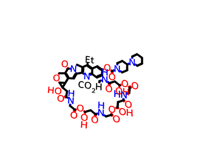 CCc1c2c(nc3ccc(OC(=O)N4CCC(N5CCCCC5)CC4)cc13)-c1cc3c(c(=O)n1C2)COC1C3C1(O)CC(=O)NCC(=O)OC(O)CC(=O)NCC(=O)OC(O)CC(=O)NCC(=O)OC(O)CC(=O)NCC(=O)O